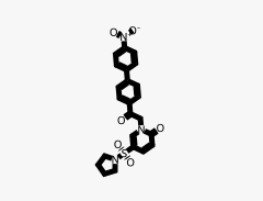 O=C(Cn1cc(S(=O)(=O)N2CCCC2)ccc1=O)c1ccc(-c2ccc([N+](=O)[O-])cc2)cc1